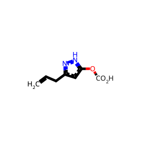 C=CCc1cc(OC(=O)O)[nH]n1